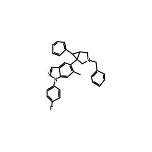 Cc1cc2c(cnn2-c2ccc(F)cc2)cc1C12CN(Cc3ccccc3)CC1C2c1ccccc1